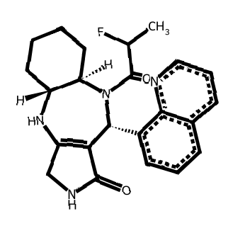 CC(F)C(=O)N1[C@@H]2CCCC[C@H]2NC2=C(C(=O)NC2)[C@H]1c1cccc2cccnc12